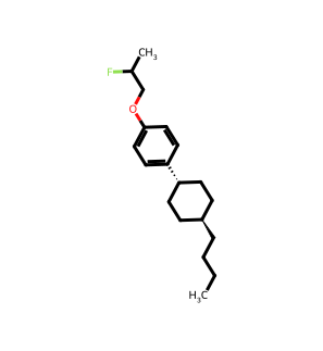 CCCC[C@H]1CC[C@H](c2ccc(OCC(C)F)cc2)CC1